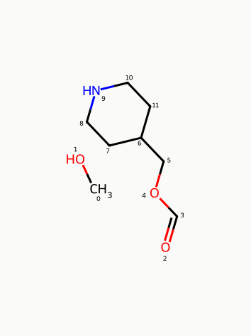 CO.O=COCC1CCNCC1